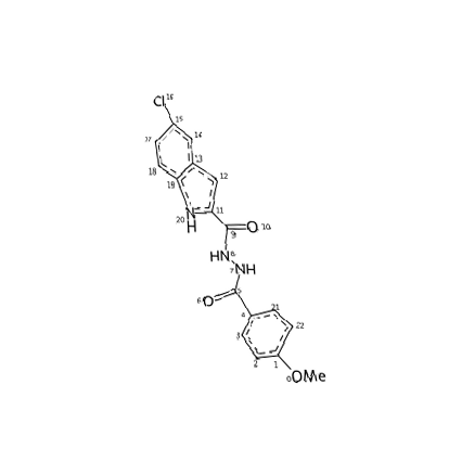 COc1ccc(C(=O)NNC(=O)c2cc3cc(Cl)ccc3[nH]2)cc1